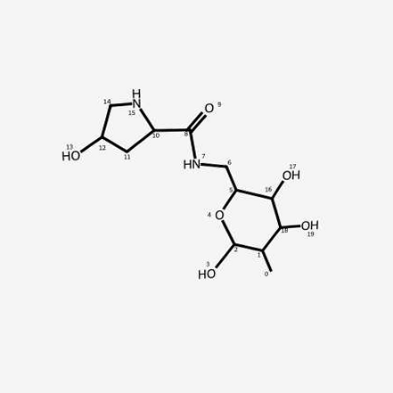 CC1C(O)OC(CNC(=O)C2CC(O)CN2)C(O)C1O